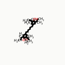 CCC(C)c1cc(CCCCCCc2cc(C(C)CC)c(O)c(C(C)(C)CC)c2)cc(C(C)(C)CC)c1O